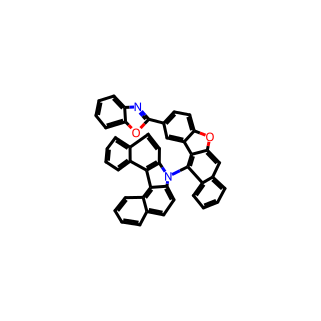 c1ccc2c(-n3c4ccc5ccccc5c4c4c5ccccc5ccc43)c3c(cc2c1)oc1ccc(-c2nc4ccccc4o2)cc13